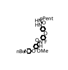 CCCCCNC(=O)Nc1ccc(Oc2ccc(NC(=O)c3ccc(OC4CCN(CCCC)CC4)c(OC)c3)c(F)c2)cc1